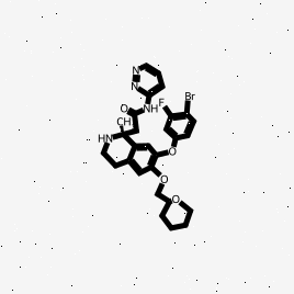 C[C@]1(CC(=O)Nc2cccnn2)NCCc2cc(OCC3CCCCO3)c(Oc3ccc(Br)c(F)c3)cc21